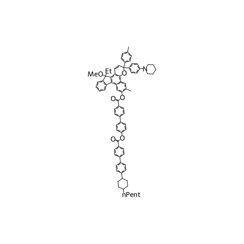 CCCCCC1CCC(c2ccc(-c3ccc(C(=O)Oc4ccc(-c5ccc(C(=O)Oc6cc7c8c(c9c(c7cc6C)OC(c6ccc(C)cc6)(c6ccc(N7CCCCC7)cc6)C=C9)C(CC)(OC)c6ccccc6-8)cc5)cc4)cc3)cc2)CC1